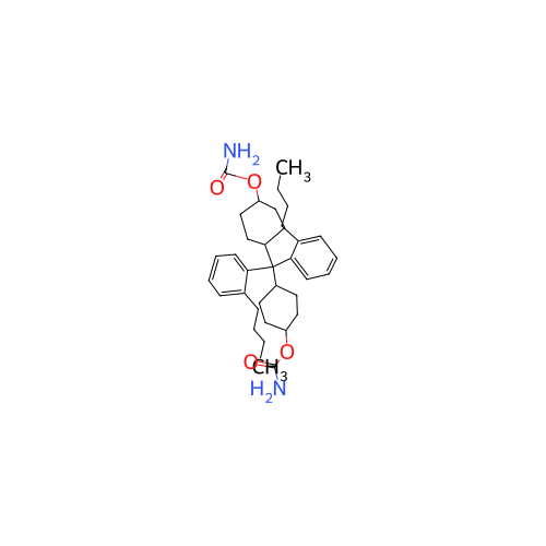 CCCCc1ccccc1C(c1ccccc1CCCC)(C1CCC(OC(N)=O)CC1)C1CCC(OC(N)=O)CC1